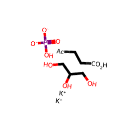 CC(=O)CCC(=O)O.O=P([O-])([O-])O.OCC(O)CO.[K+].[K+]